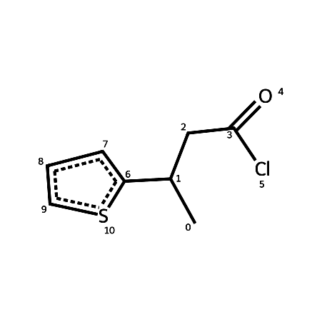 CC(CC(=O)Cl)c1cccs1